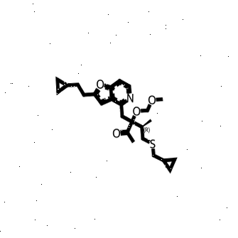 COCOC(Cc1nccc2oc(CCC3CC3)cc12)(C(C)=O)[C@@H](C)CSCC1CC1